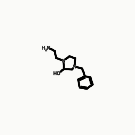 NCCN1CCN(Cc2ccccc2)CC1O